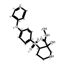 O=C(NO)C1(O)CNCCC1S(=O)(=O)c1ccc(Oc2ccncc2)cc1